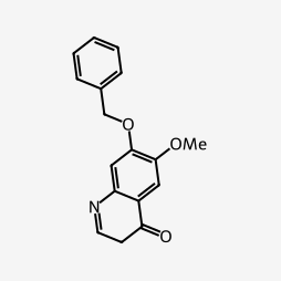 COc1cc2c(cc1OCc1ccccc1)N=CCC2=O